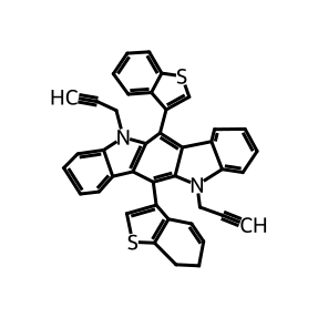 C#CCn1c2ccccc2c2c(-c3csc4ccccc34)c3c(c(-c4csc5c4C=CCC5)c21)c1ccccc1n3CC#C